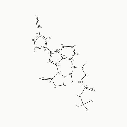 CC1CN(C(=O)OC(C)(C)C)CCN1c1ncnc2c1c(N1CCCC1=O)cn2-c1ncc(C#N)s1